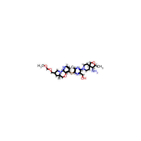 COCOCC1C[C@H]2COc3c(Sc4nc(CO)c(N5CCC6(CC5)CO[C@@H](C)[C@H]6N)nc4C)ccnc3N2C1